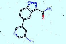 NC(=O)c1n[nH]c2ccc(-c3cncc(N)c3)cc12